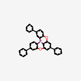 S=P12c3ccc(-c4ccccc4)cc3Oc3cc(-c4ccccc4)cc(c31)Oc1ccc(-c3ccccc3)cc12